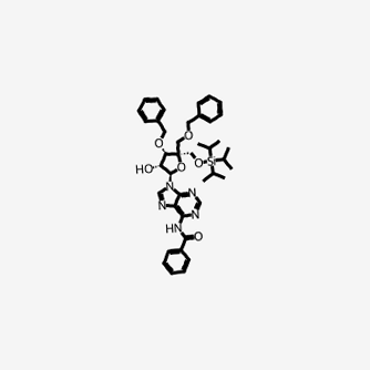 CC(C)[Si](OC[C@]1(COCc2ccccc2)O[C@@H](n2cnc3c(NC(=O)c4ccccc4)ncnc32)[C@H](O)[C@@H]1OCc1ccccc1)(C(C)C)C(C)C